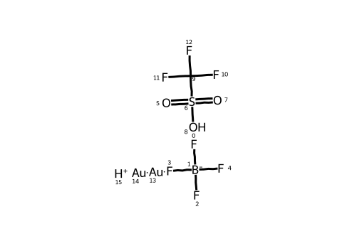 F[B-](F)(F)F.O=S(=O)(O)C(F)(F)F.[Au].[Au].[H+]